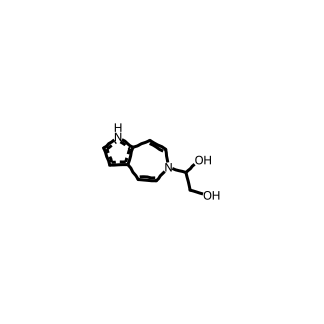 OCC(O)N1C=Cc2cc[nH]c2C=C1